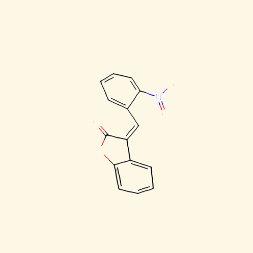 O=C1Oc2ccccc2C1=Cc1ccccc1[N+](=O)[O-]